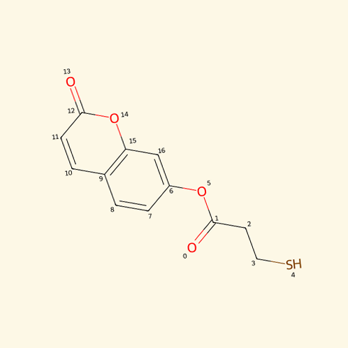 O=C(CCS)Oc1ccc2ccc(=O)oc2c1